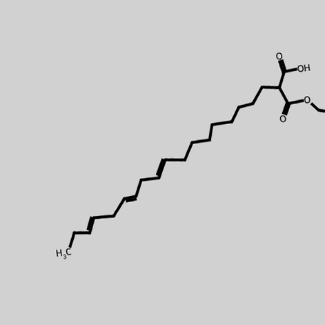 CCC=CCC=CCC=CCCCCCCCCC(C(=O)O)C(=O)OCC